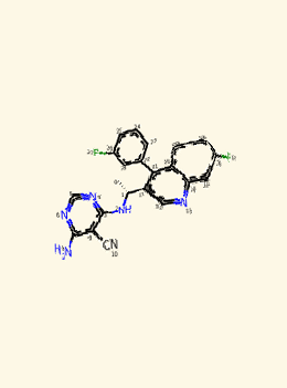 C[C@@H](Nc1ncnc(N)c1C#N)c1cnc2cc(F)ccc2c1-c1cccc(F)c1